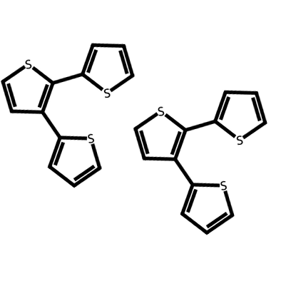 c1csc(-c2ccsc2-c2cccs2)c1.c1csc(-c2ccsc2-c2cccs2)c1